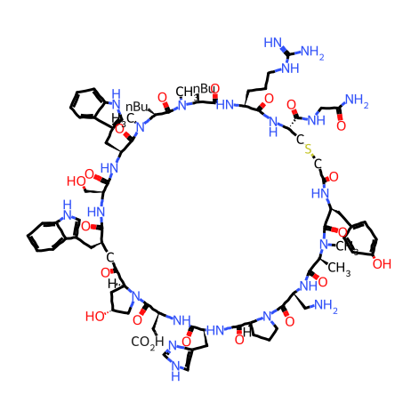 CCCC[C@H]1C(=O)N(C)[C@@H](CCCC)C(=O)N[C@@H](CCCNC(=N)N)C(=O)N[C@H](C(=O)NCC(N)=O)CSCC(=O)N[C@@H](Cc2ccc(O)cc2)C(=O)N(C)[C@@H](C)C(=O)N[C@@H](CN)C(=O)N2CCC[C@H]2C(=O)N[C@@H](Cc2c[nH]cn2)C(=O)N[C@@H](CC(=O)O)C(=O)N2C[C@H](O)C[C@H]2C(=O)C[C@@H](Cc2c[nH]c3ccccc23)C(=O)N[C@@H](CO)C(=O)N[C@@H](Cc2c[nH]c3ccccc23)C(=O)N1C